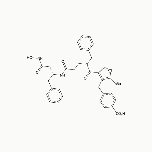 CCCCc1ncc(C(=O)N(CCC(=O)N[C@@H](CC(=O)NO)Cc2ccccc2)Cc2ccccc2)n1Cc1ccc(C(=O)O)cc1